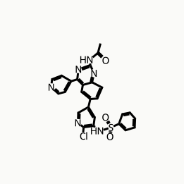 CC(=O)Nc1nc(-c2ccncc2)c2cc(-c3cnc(Cl)c(NS(=O)(=O)c4ccccc4)c3)ccc2n1